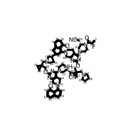 C=C(F)C(=O)N1CCN(c2nc(OCC3(CN4CCCC4)CC3)nc3c2CCN(c2cc(C4CCN(CC5(COc6nc7c(c(N8CCN[C@@H](CC#N)C8)n6)CCN(c6cccc8cccc(Cl)c68)C7)CC5)C4)cc4cccc(Cl)c24)C3)C[C@@H]1CC#N